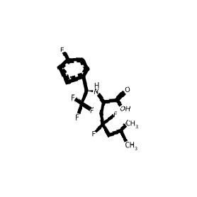 CC(C)CC(F)(F)CC(N[C@@H](c1ccc(F)cc1)C(F)(F)F)C(=O)O